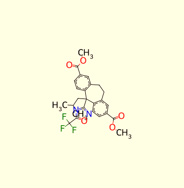 COC(=O)c1ccc2c(c1)CCc1cc(C(=O)OC)ccc1C2(CC(C)C)c1noc(C(F)(F)F)n1